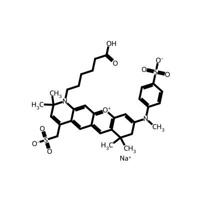 CN(C1=Cc2[o+]c3cc4c(cc3cc2C(C)(C)C1)C(CS(=O)(=O)[O-])=CC(C)(C)N4CCCCCC(=O)O)c1ccc(S(=O)(=O)[O-])cc1.[Na+]